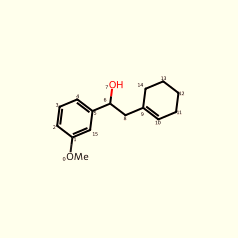 COc1cccc(C(O)CC2=CCCCC2)c1